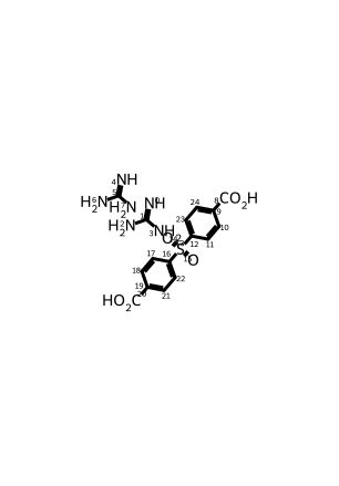 N=C(N)N.N=C(N)N.O=C(O)c1ccc(S(=O)(=O)c2ccc(C(=O)O)cc2)cc1